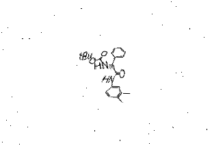 Cc1ccc(NC(=O)[C@H](NC(=O)OC(C)(C)C)c2ccccc2)cc1C